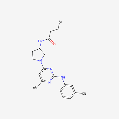 CCCc1cc(N2CCC(NC(=O)CCC(C)=O)C2)nc(Nc2cccc(C#N)c2)n1